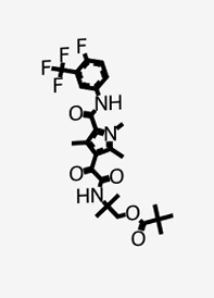 Cc1c(C(=O)C(=O)NC(C)(C)COC(=O)C(C)(C)C)c(C)n(C)c1C(=O)Nc1ccc(F)c(C(F)(F)F)c1